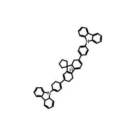 C1=CC2c3ccccc3N(C3=CC=C(C4=CC5=C(CC4)C4=CC=C(c6ccc(-n7c8ccccc8c8ccccc87)cc6)C[C@@H]4C54CCCC4)CC3)C2C=C1